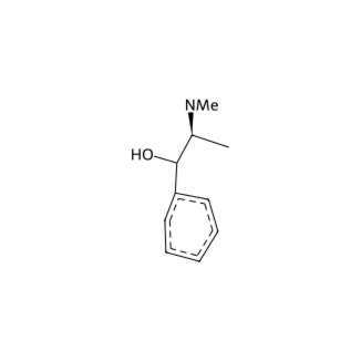 CN[C@@H](C)C(O)c1ccccc1